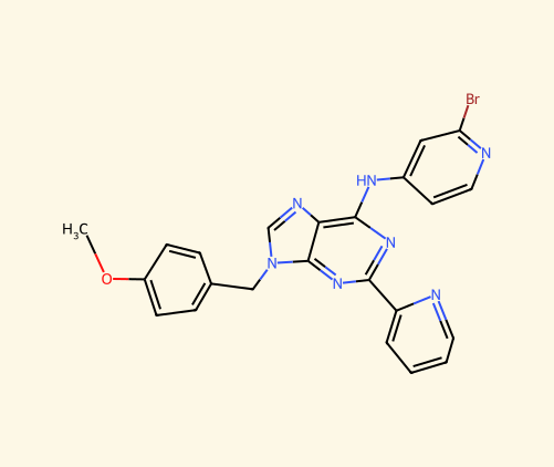 COc1ccc(Cn2cnc3c(Nc4ccnc(Br)c4)nc(-c4ccccn4)nc32)cc1